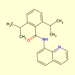 CC(C)c1cccc(C(C)C)c1C(=O)Nc1cccc2cccnc12